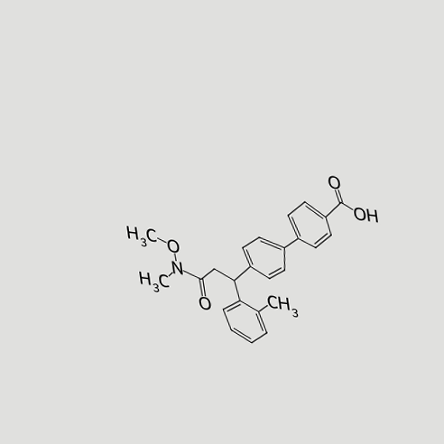 CON(C)C(=O)CC(c1ccc(-c2ccc(C(=O)O)cc2)cc1)c1ccccc1C